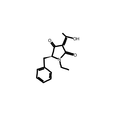 CCN1C(=O)C(=C(C)O)C(=O)[C@@H]1Cc1ccccc1